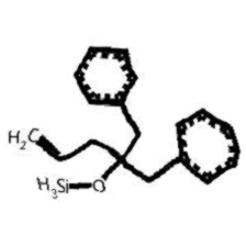 C=CCC(Cc1ccccc1)(Cc1ccccc1)O[SiH3]